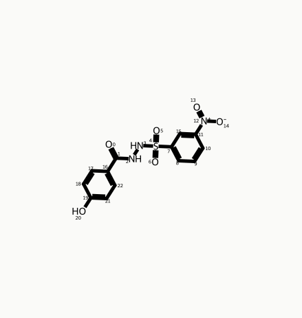 O=C(NNS(=O)(=O)c1cccc([N+](=O)[O-])c1)c1ccc(O)cc1